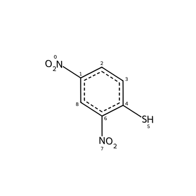 O=[N+]([O-])c1ccc(S)c([N+](=O)[O-])c1